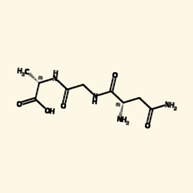 C[C@H](NC(=O)CNC(=O)[C@@H](N)CC(N)=O)C(=O)O